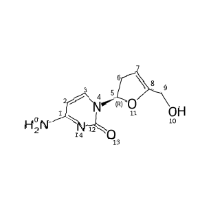 Nc1ccn([C@H]2CC=C(CO)O2)c(=O)n1